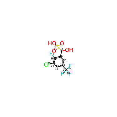 O=S(=O)(O)C(O)c1cc(C(F)(F)F)cc(Cl)c1F